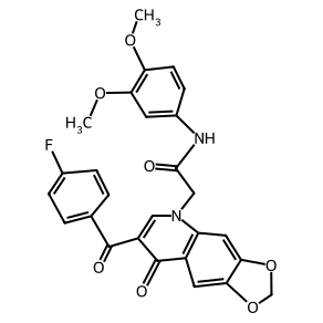 COc1ccc(NC(=O)Cn2cc(C(=O)c3ccc(F)cc3)c(=O)c3cc4c(cc32)OCO4)cc1OC